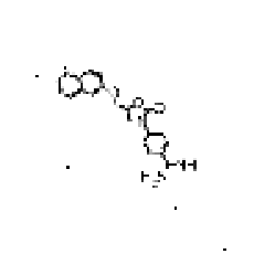 N=C(N)c1ccc(N2CC(COc3ccc4ncccc4c3)OC2=O)cc1